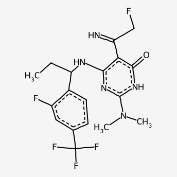 CCC(Nc1nc(N(C)C)[nH]c(=O)c1C(=N)CF)c1ccc(C(F)(F)F)cc1F